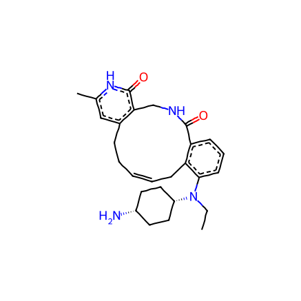 CCN(c1cccc2c1CC=CCCc1cc(C)[nH]c(=O)c1CNC2=O)[C@H]1CC[C@@H](N)CC1